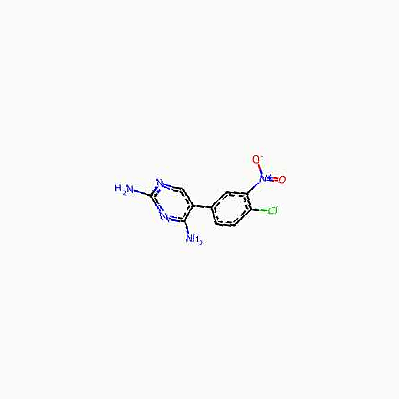 Nc1ncc(-c2ccc(Cl)c([N+](=O)[O-])c2)c(N)n1